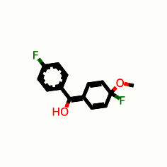 COC1(F)C=CC(=C(O)c2ccc(F)cc2)C=C1